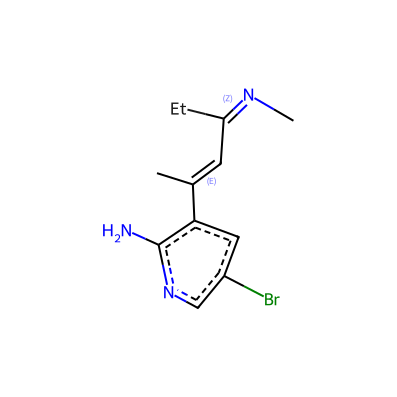 CCC(/C=C(\C)c1cc(Br)cnc1N)=N/C